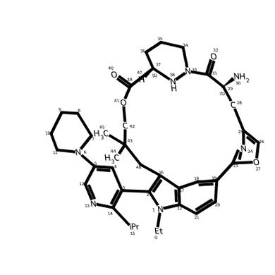 CCn1c(-c2cc(N3CCCCC3)cnc2C(C)C)c2c3cc(ccc31)-c1nc(co1)C[C@H](N)C(=O)N1CCC[C@H](N1)C(=O)OCC(C)(C)C2